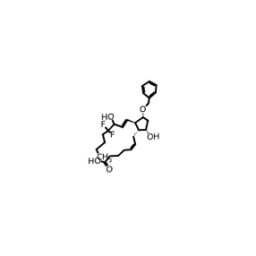 CCCCC(F)(F)C(O)/C=C/[C@@H]1[C@@H](C/C=C\CCCC(=O)O)[C@@H](O)C[C@H]1OCc1ccccc1